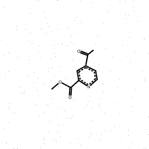 COC(=O)c1cc(C(C)=O)ccn1